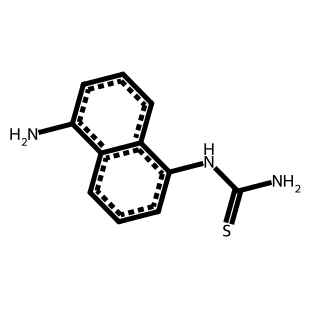 NC(=S)Nc1cccc2c(N)cccc12